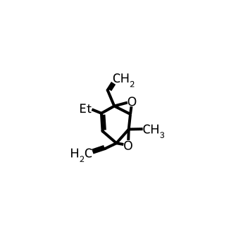 C=CC12OC1C1(C)OC1(C=C)C=C2CC